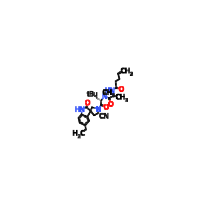 C=CCCC(=O)N[C@@H](C)C(=O)N(C)[C@@H](CC(C)(C)C)C(=O)N1C[C@]2(C[C@H]1C#N)C(=O)Nc1ccc(C=C)cc12